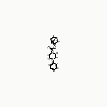 O=C(OC1CN2CCC1CC2)N1CCN(c2ccccc2)CC1